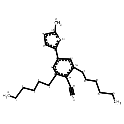 CCCCCCc1cc(-c2ccc(C)s2)cc(CCCCCC)c1C#N